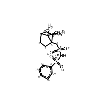 CC1(C)C2CCC1(CS(=O)(=O)NS(=O)(=O)c1ccccc1)C(O)C2